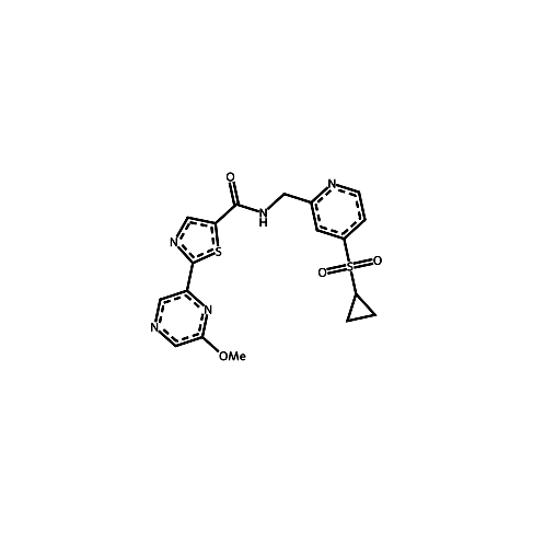 COc1cncc(-c2ncc(C(=O)NCc3cc(S(=O)(=O)C4CC4)ccn3)s2)n1